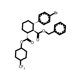 O=C(OCc1ccccc1)[C@@H]1[C@@H](c2ccc(Br)cc2)CCC[C@H]1C(=O)OC1CCC(C(F)(F)F)CC1